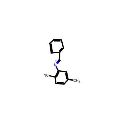 Cc1ccc(C#N)c(/N=C/c2ccccc2)c1